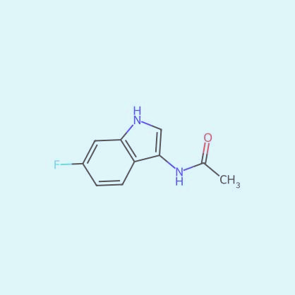 CC(=O)Nc1c[nH]c2cc(F)ccc12